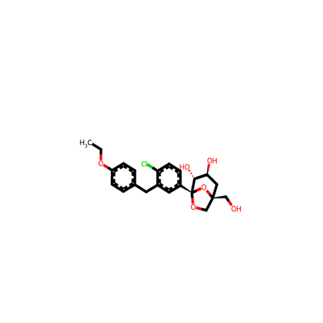 CCOc1ccc(Cc2cc([C@@]34OC[C@@](CO)(C[C@H](O)[C@H]3O)O4)ccc2Cl)cc1